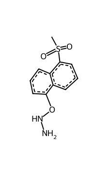 CS(=O)(=O)c1cccc2c(ONN)cccc12